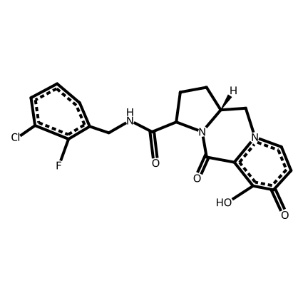 O=C(NCc1cccc(Cl)c1F)C1CC[C@@H]2Cn3ccc(=O)c(O)c3C(=O)N12